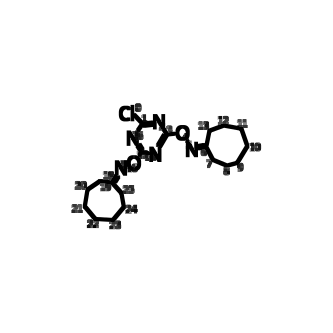 Clc1nc(ON=C2CCCCCCC2)nc(ON=C2CCCCCCC2)n1